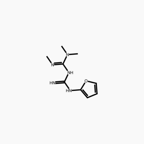 CN=C(NC(=N)Nc1ccco1)N(C)C